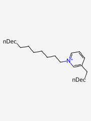 CCCCCCCCCCCCCCCCC[n+]1cccc(CCCCCCCCCCC)c1